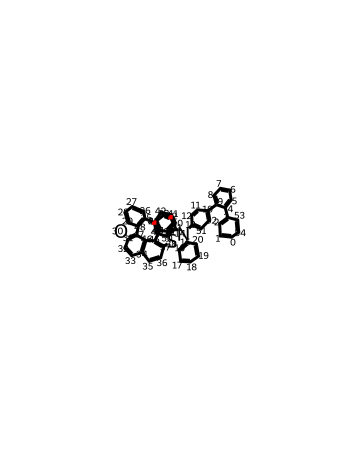 c1ccc(-c2ccccc2-c2ccc(N(c3ccccc3)c3ccc(-c4cccc5oc6ccc7ccc8sc9ccccc9c8c7c6c45)cc3)cc2)cc1